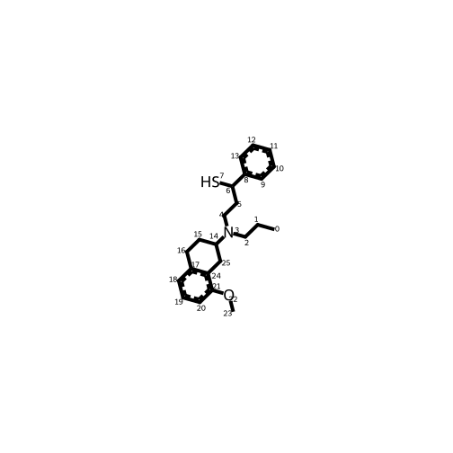 CCCN(CCC(S)c1ccccc1)C1CCc2cccc(OC)c2C1